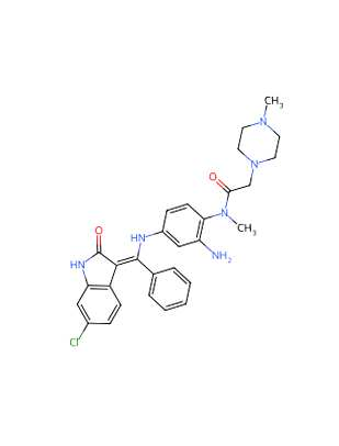 CN1CCN(CC(=O)N(C)c2ccc(N/C(=C3\C(=O)Nc4cc(Cl)ccc43)c3ccccc3)cc2N)CC1